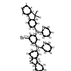 CC1(C)c2ccccc2-c2ccc(N(c3cc(Br)cc(N(c4ccc5sc6ccccc6c5c4)c4ccccn4)c3)c3ccccn3)cc21